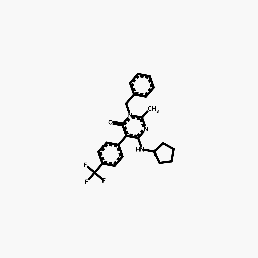 Cc1nc(NC2CCCC2)c(-c2ccc(C(F)(F)F)cc2)c(=O)n1Cc1ccccc1